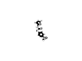 O=C(Oc1ccc([N+](=O)[O-])cc1)Oc1ccco1